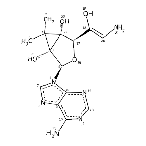 CC1(C)[C@]2(O)[C@H](n3cnc4c(N)ncnc43)O[C@H](C(O)=CN)[C@]12O